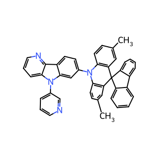 Cc1ccc2c(c1)C1(c3ccccc3-c3ccccc31)c1cc(C)ccc1N2c1ccc2c3ncccc3n(-c3cccnc3)c2c1